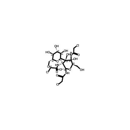 O=C(CCl)N[C@@H]1[C@](O)([C@H]2O[C@H](CO)[C@@H](O)[C@H](O)[C@H]2O)[C@@](O)(NC(=O)CCl)[C@@H](CO)O[C@@]1(O)NC(=O)CCl